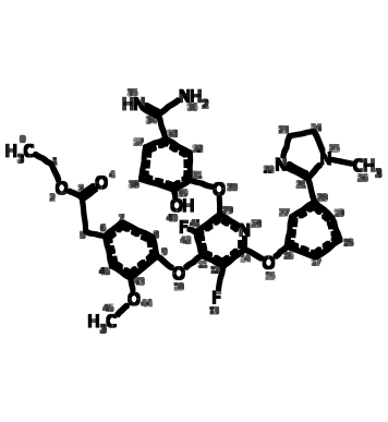 CCOC(=O)Cc1ccc(Oc2c(F)c(Oc3cccc(C4=NCCN4C)c3)nc(Oc3cc(C(=N)N)ccc3O)c2F)c(OC)c1